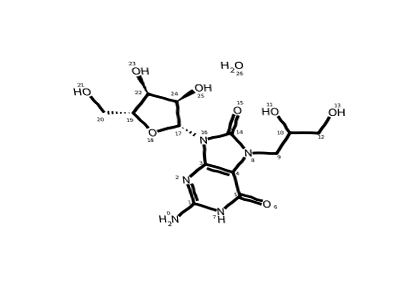 Nc1nc2c(c(=O)[nH]1)n(CC(O)CO)c(=O)n2[C@@H]1O[C@H](CO)[C@@H](O)[C@H]1O.O